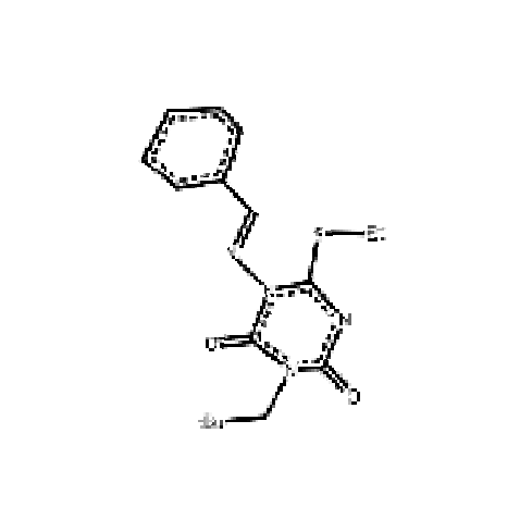 CCSc1nc(=O)n(CC(C)(C)C)c(=O)n1/N=C/c1ccccc1